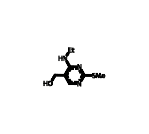 CCNc1nc(SC)ncc1CO